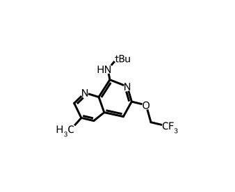 Cc1cnc2c(NC(C)(C)C)nc(OCC(F)(F)F)cc2c1